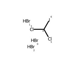 Br.Br.Br.ClC(Cl)I